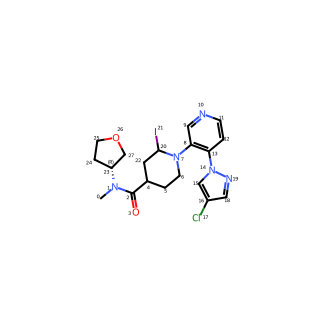 CN(C(=O)C1CCN(c2cnccc2-n2cc(Cl)cn2)C(I)C1)[C@@H]1CCOC1